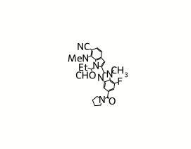 CCC(C=O)n1c(-c2nc3cc(C(=O)N4CCCC4)cc(F)c3n2C)cc2ccc(C#N)c(NC)c21